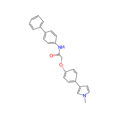 Cn1ccc(-c2ccc(OCC(=O)Nc3ccc(-c4ccccc4)cc3)cc2)c1